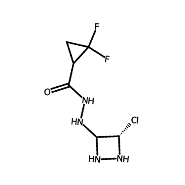 O=C(NNC1NN[C@H]1Cl)C1CC1(F)F